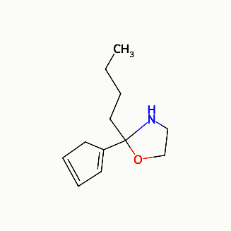 CCCCC1(C2=CC=CC2)NCCO1